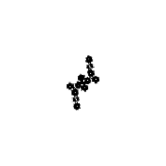 c1ccc(/C(=C(/c2ccccc2)c2ccc(N(c3ccccc3)c3ccc(N4CCN(c5ccccc5)CC4)cc3)cc2)c2ccc(N(c3ccccc3)c3ccc(N4CCN(c5ccccc5)CC4)cc3)cc2)cc1